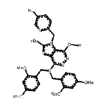 CCCCc1nc2c(N(Cc3ccc(OC)cc3OC)Cc3ccc(OC)cc3OC)nnc(OC(C)C)c2n1Cc1ccc(C#N)cn1